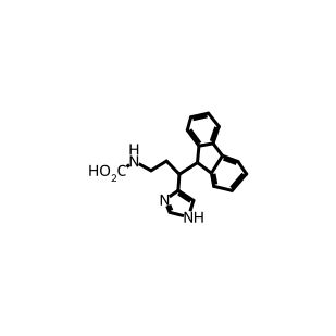 O=C(O)NCCC(c1c[nH]cn1)C1c2ccccc2-c2ccccc21